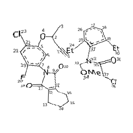 C#CC(C)Oc1cc(N2C(=O)C3=C(CCCC3)C2=O)c(F)cc1Cl.CCc1cccc(CC)c1N(COC)C(=O)CCl